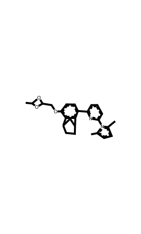 Cc1ccc(C)n1-c1cccc(-c2ccc(OCC3OC(C)O3)c3c2C2CCC3C2)n1